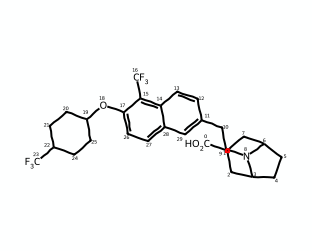 O=C(O)C1CC2CCC(C1)N2CCc1ccc2c(C(F)(F)F)c(OC3CCC(C(F)(F)F)CC3)ccc2c1